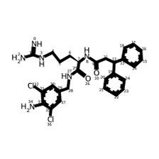 N=C(N)NCCC[C@@H](NC(=O)CC(c1ccccc1)c1ccccc1)C(=O)NCc1cc(Cl)c(N)c(Cl)c1